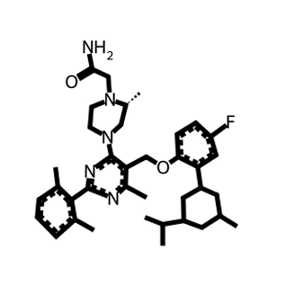 Cc1cccc(C)c1-c1nc(C)c(COc2ccc(F)cc2C2CC(C)CC(C(C)C)C2)c(N2CCN(CC(N)=O)[C@H](C)C2)n1